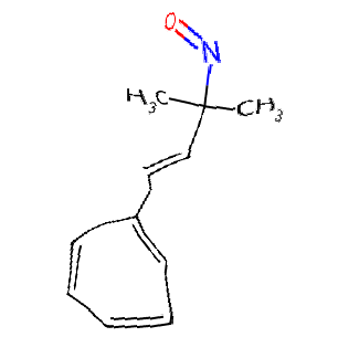 CC(C)(C=Cc1ccccc1)N=O